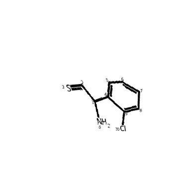 NC(C=S)c1ccccc1Cl